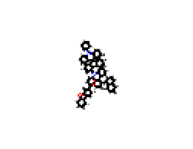 c1ccc(N2c3ccccc3C3(c4ccccc4-c4c(N(c5ccc(-c6ccc7c(c6)oc6ccccc67)cc5)c5ccccc5-c5ccccc5-c5cccc6ccccc56)cccc43)c3ccccc32)cc1